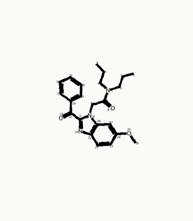 CCCN(CCC)C(=O)Cn1c(C(=O)c2ccccc2)nc2ccc(OC)cc21